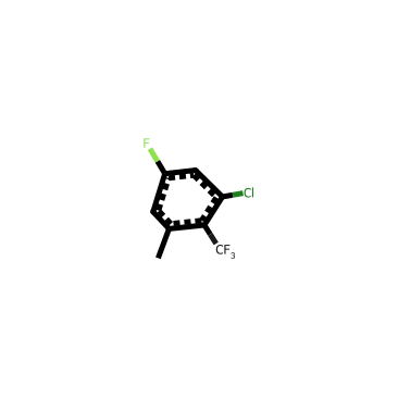 Cc1cc(F)cc(Cl)c1C(F)(F)F